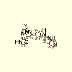 CCc1cnc2c(C3CNCCO3)cc(-c3ccc(NC(=O)Nc4cccnc4)cc3)nn12